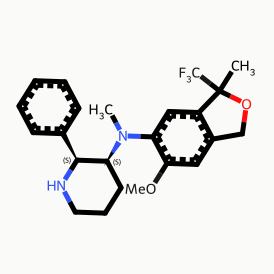 COc1cc2c(cc1N(C)[C@H]1CCCN[C@H]1c1ccccc1)C(C)(C(F)(F)F)OC2